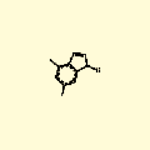 [Li][CH]1C=Cc2c(C)cc(C)cc21